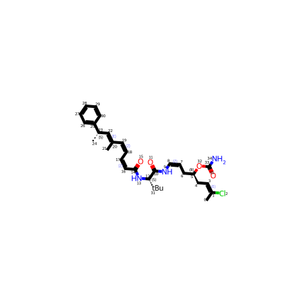 C/C(Cl)=C\C[C@@H](C/C=C\NC(=O)[C@@H](NC(=O)\C=C/C=C\C(C)=C\[C@H](C)c1ccccc1)C(C)(C)C)OC(N)=O